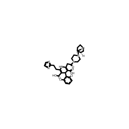 O=C(O)C1=C(CCc2nccs2)NC(CC(=O)N2CCN([C@@H]3CN4CCC3CC4)CC2)=C(C(=O)O)C1c1c(Cl)cccc1Cl